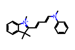 CN(C=CC=CC1=[N+](C)c2ccccc2C1(C)C)c1ccccc1